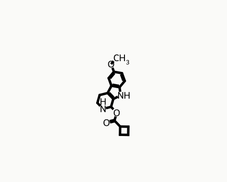 COc1ccc2[nH]c3c(c2c1)CCNC3OC(=O)C1CCC1